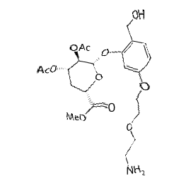 COC(=O)[C@@H]1C[C@H](OC(C)=O)[C@@H](OC(C)=O)[C@H](Oc2cc(OCCOCCN)ccc2CO)O1